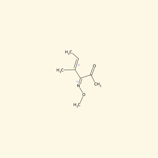 C/C=C(C)/C(=N/OC)C(C)=O